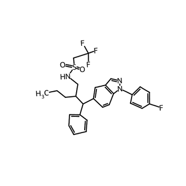 CCCC(CNS(=O)(=O)CC(F)(F)F)C(c1ccccc1)c1ccc2c(cnn2-c2ccc(F)cc2)c1